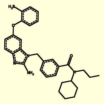 Bc1ccccc1Oc1ccc2nc(N)n(Cc3cccc(C(=O)N(CCC)C4CCCCC4)c3)c2c1